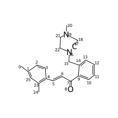 Cc1ccc(C=CC(=O)c2ccccc2CN2CCN(C)CC2)c(C)c1